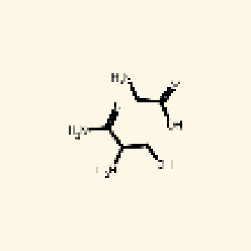 NC(=O)C(N)CO.NCC(=O)O